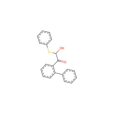 O=C(c1ccccc1-c1ccccc1)C(O)Sc1ccccc1